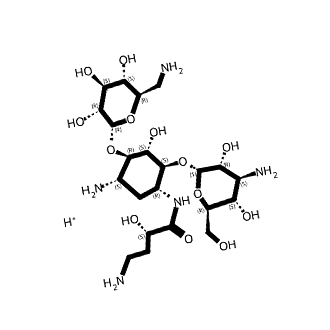 NCC[C@H](O)C(=O)N[C@@H]1C[C@H](N)[C@@H](O[C@H]2O[C@H](CN)[C@@H](O)[C@H](O)[C@H]2O)[C@H](O)[C@H]1O[C@H]1O[C@H](CO)[C@@H](O)[C@H](N)[C@H]1O.[H+]